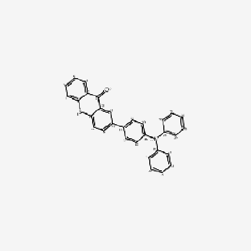 O=c1c2ccccc2sc2ccc(-c3ccc(N(c4ccccc4)c4ccccc4)cc3)cc12